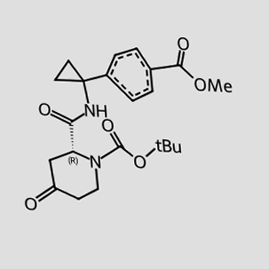 COC(=O)c1ccc(C2(NC(=O)[C@H]3CC(=O)CCN3C(=O)OC(C)(C)C)CC2)cc1